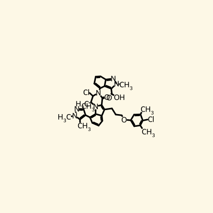 Cc1cc(OCCCc2c3n(c4c(-c5c(C)nn(C)c5C)cccc24)[C@H](C)C(Cl)N(c2cccc4nn(C)c(C(=O)O)c24)C3=O)cc(C)c1Cl